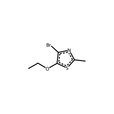 CCOc1sc(C)nc1Br